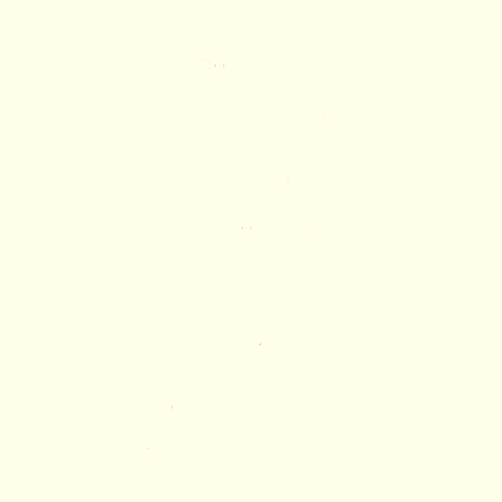 CCOC(=O)/C=C/c1cccc(NC(=O)c2ccc(-c3ccc(F)cc3)o2)c1